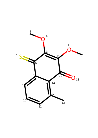 COC1=C(OC)C(=S)c2cccc(C)c2C1=O